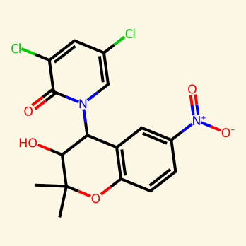 CC1(C)Oc2ccc([N+](=O)[O-])cc2C(n2cc(Cl)cc(Cl)c2=O)C1O